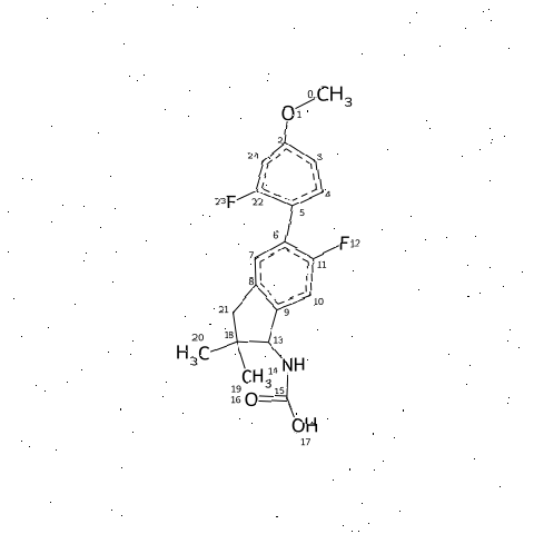 COc1ccc(-c2cc3c(cc2F)C(NC(=O)O)C(C)(C)C3)c(F)c1